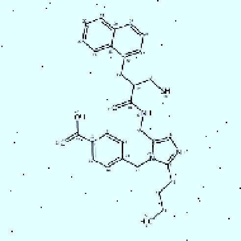 CCCCc1ncc(CNC(=O)C(CS)Cc2cccc3ccccc23)n1Cc1ccc(C(=O)O)cc1